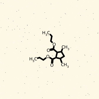 CCCOC(=O)C1C(C)CC(C)C1C(=O)OCCC